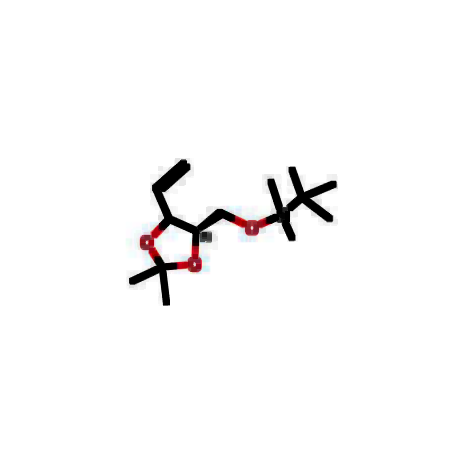 C=CC1OC(C)(C)O[C@@H]1CO[Si](C)(C)C(C)(C)C